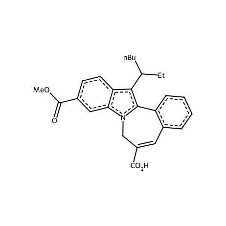 CCCCC(CC)c1c2n(c3cc(C(=O)OC)ccc13)CC(C(=O)O)=Cc1ccccc1-2